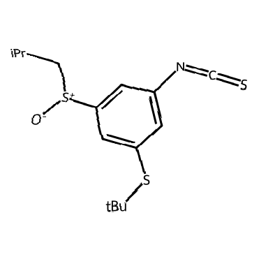 CC(C)C[S+]([O-])c1cc(N=C=S)cc(SC(C)(C)C)c1